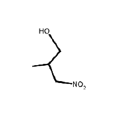 CC(CO)C[N+](=O)[O-]